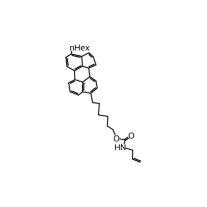 C=CCNC(=O)OCCCCCCc1ccc2c3cccc4c(CCCCCC)ccc(c5cccc1c52)c43